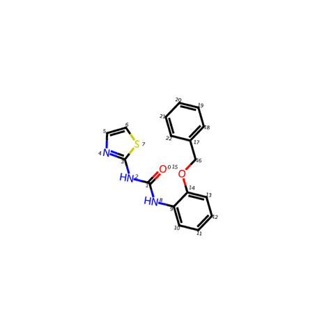 O=C(Nc1nccs1)Nc1ccccc1OCc1ccccc1